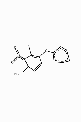 CC1=C(Oc2ccccc2)C=CC(C(=O)O)C1=S(=O)=O